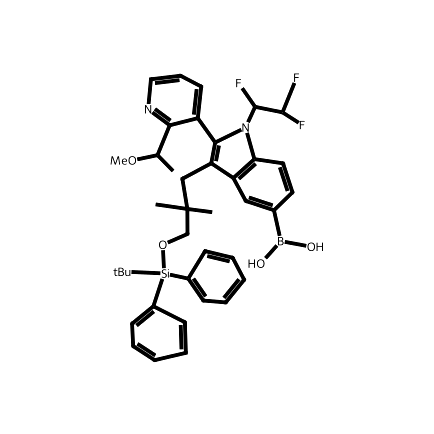 COC(C)c1ncccc1-c1c(CC(C)(C)CO[Si](c2ccccc2)(c2ccccc2)C(C)(C)C)c2cc(B(O)O)ccc2n1C(F)C(F)F